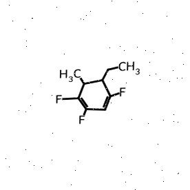 CCC1C(F)=CC(F)=C(F)C1C